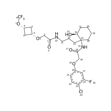 O=C(CO[C@H]1C[C@@H](OC(F)(F)F)C1)NCCCC1(NC(=O)COc2ccc(Cl)c(F)c2)CCCC[C@@H]1O